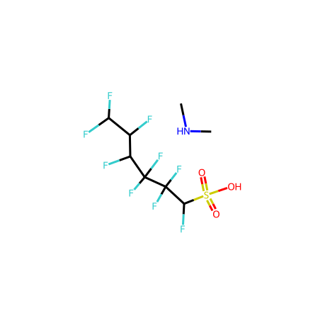 CNC.O=S(=O)(O)C(F)C(F)(F)C(F)(F)C(F)C(F)C(F)F